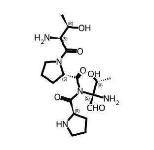 C[C@@H](O)[C@H](N)C(=O)N1CCC[C@H]1C(=O)N(C(=O)[C@H]1CCCN1)[C@](N)(C=O)[C@@H](C)O